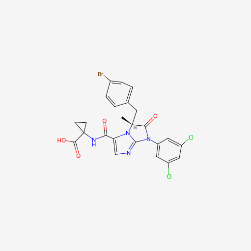 C[C@@]1(Cc2ccc(Br)cc2)C(=O)N(c2cc(Cl)cc(Cl)c2)c2ncc(C(=O)NC3(C(=O)O)CC3)n21